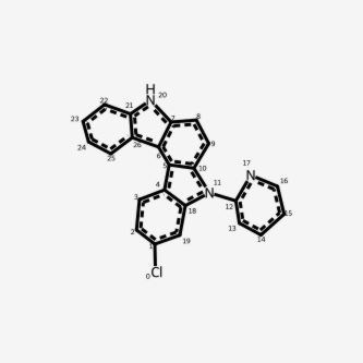 Clc1ccc2c3c4c(ccc3n(-c3ccccn3)c2c1)[nH]c1ccccc14